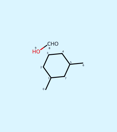 CC1CCCC(C)C1.O=CO